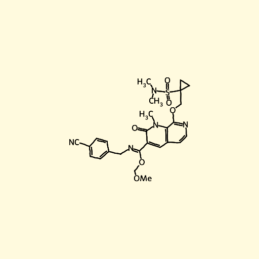 COCO/C(=N\Cc1ccc(C#N)cc1)c1cc2ccnc(OCC3(S(=O)(=O)N(C)C)CC3)c2n(C)c1=O